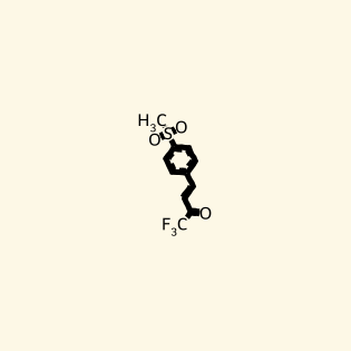 CS(=O)(=O)c1ccc(C=CC(=O)C(F)(F)F)cc1